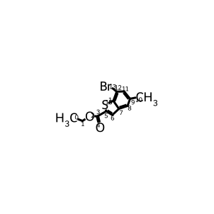 CCOC(=O)c1cc2cc(C)cc(Br)c2s1